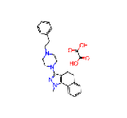 Cn1nc(N2CCN(CCc3ccccc3)CC2)c2c1-c1ccccc1CC2.O=C(O)C(=O)O